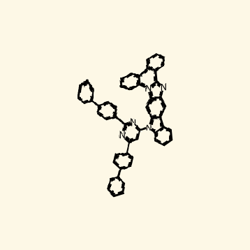 c1ccc(-c2ccc(-c3cc(-n4c5ccccc5c5cc6nc7c8ccccc8c8ccccc8n7c6cc54)nc(-c4ccc(-c5ccccc5)cc4)n3)cc2)cc1